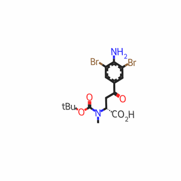 CN(C(=O)OC(C)(C)C)[C@H](CC(=O)c1cc(Br)c(N)c(Br)c1)C(=O)O